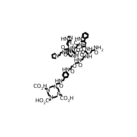 CC(C)C(NC(=O)[C@H](C)NC(=O)[C@H](Cc1c[nH]c2ccccc12)NC(=O)[C@H](CCC(N)=O)NC(=O)CNC(=O)COCC(=O)Nc1ccc(CNC(=O)CN2CCN(CC(=O)O)CCN(CC(=O)O)CCN(CC(=O)O)CC2)cc1)C(=O)NCC(=O)N[C@@H](CCc1cnc[nH]1)C(=O)NCCN1CCCC1